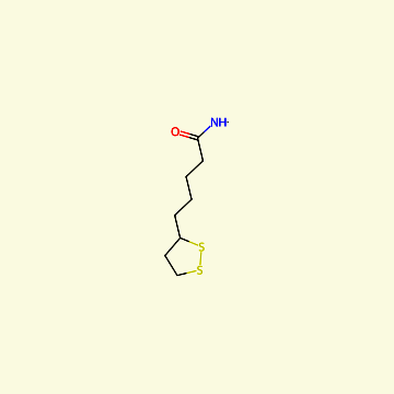 [NH]C(=O)CCCCC1CCSS1